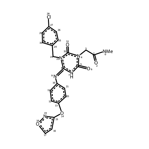 CNC(=O)Cn1c(=O)[nH]/c(=N\c2ccc(Oc3ccon3)cc2)n(Cc2ccc(Cl)cc2)c1=O